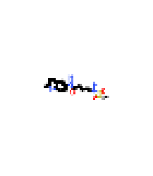 Cc1ccc2cc(NC(=O)CCCCNS(=O)(=O)C(C)C)ccc2n1